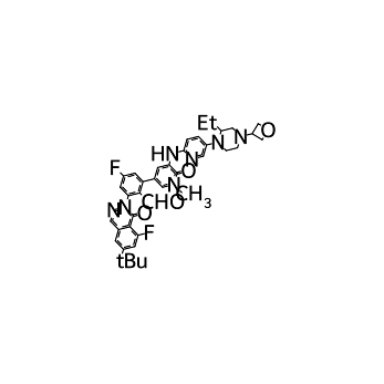 CCC1CN(C2COC2)CCN1c1ccc(Nc2cc(-c3cc(F)cc(-n4ncc5cc(C(C)(C)C)cc(F)c5c4=O)c3C=O)cn(C)c2=O)nc1